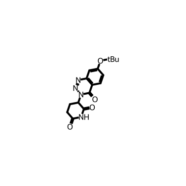 CC(C)(C)Oc1ccc2c(=O)n(C3CCC(=O)NC3=O)nnc2c1